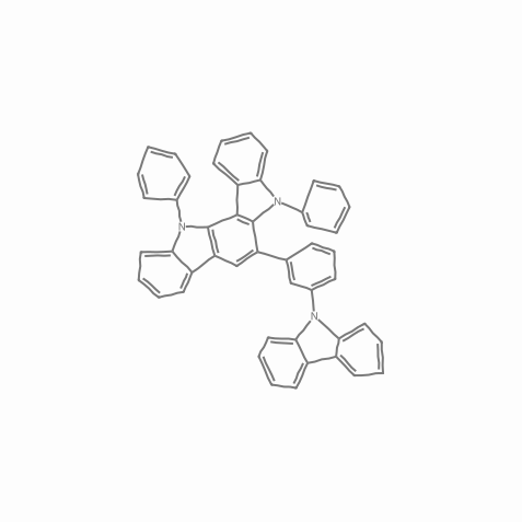 c1ccc(-n2c3ccccc3c3c2c(-c2cccc(-n4c5ccccc5c5ccccc54)c2)cc2c4ccccc4n(-c4ccccc4)c23)cc1